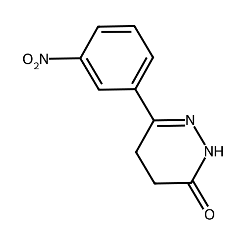 O=C1CCC(c2cccc([N+](=O)[O-])c2)=NN1